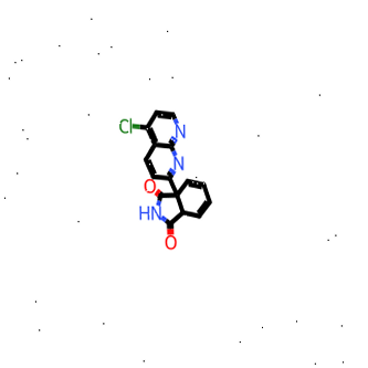 O=C1NC(=O)C2(c3ccc4c(Cl)ccnc4n3)C=CC=CC12